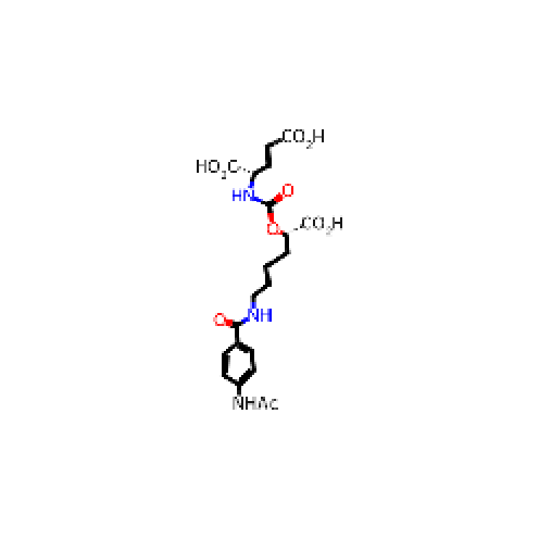 CC(=O)Nc1ccc(C(=O)NCCCC[C@H](OC(=O)N[C@@H](CCC(=O)O)C(=O)O)C(=O)O)cc1